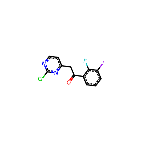 O=C(Cc1ccnc(Cl)n1)c1cccc(I)c1F